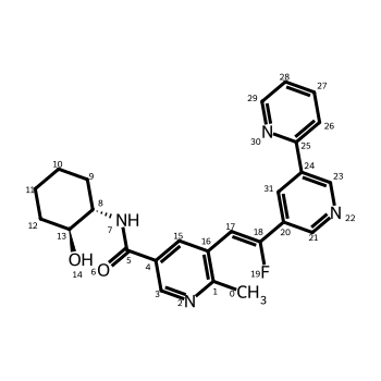 Cc1ncc(C(=O)N[C@H]2CCCC[C@@H]2O)cc1/C=C(\F)c1cncc(-c2ccccn2)c1